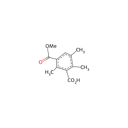 COC(=O)c1cc(C)c(C)c(C(=O)O)c1C